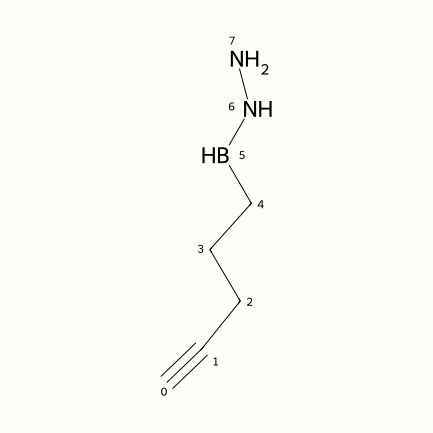 C#CCCCBNN